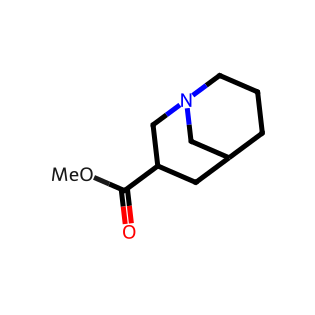 COC(=O)C1CC2CCCN(C2)C1